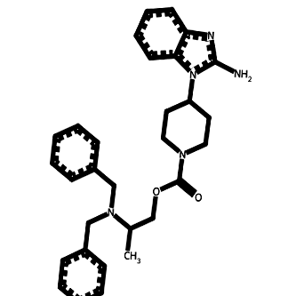 CC(COC(=O)N1CCC(n2c(N)nc3ccccc32)CC1)N(Cc1ccccc1)Cc1ccccc1